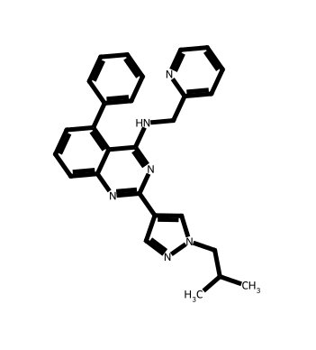 CC(C)Cn1cc(-c2nc(NCc3ccccn3)c3c(-c4ccccc4)cccc3n2)cn1